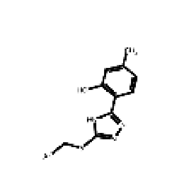 CC(=O)CSc1nnc(-c2ccc(C)cc2O)[nH]1